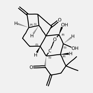 C=C1CC(C)(C)[C@H]2[C@H](O)[C@]3(O)OC[C@]2(C1=O)[C@@H]1CC[C@H]2C(=C)C4C(=O)C13[C@H]42